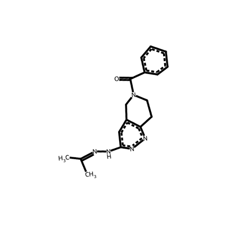 CC(C)=NNc1cc2c(nn1)CCN(C(=O)c1ccccc1)C2